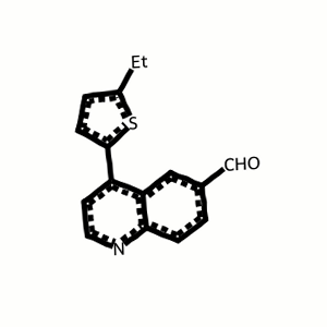 CCc1ccc(-c2ccnc3ccc(C=O)cc23)s1